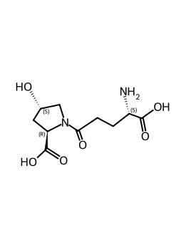 N[C@@H](CCC(=O)N1C[C@@H](O)C[C@@H]1C(=O)O)C(=O)O